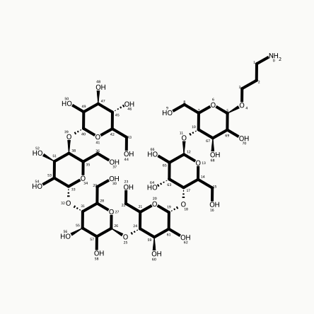 NCCCO[C@@H]1OC(CO)[C@@H](O[C@H]2OC(CO)[C@H](O[C@H]3OC(CO)[C@@H](O[C@@H]4OC(CO)[C@@H](O[C@H]5OC(CO)[C@H](O[C@H]6OC(CO)[C@@H](O)[C@H](O)C6O)[C@H](O)C5O)[C@H](O)C4O)[C@H](O)C3O)[C@H](O)C2O)[C@H](O)C1O